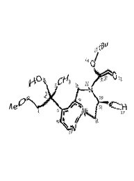 COCC(C)(O)c1cnn2c1CN(C(=O)OC(C)(C)C)[C@@H](C)C2